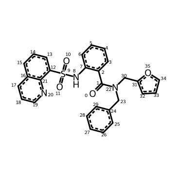 O=C(c1ccccc1NS(=O)(=O)c1cccc2cccnc12)N(Cc1ccccc1)Cc1ccco1